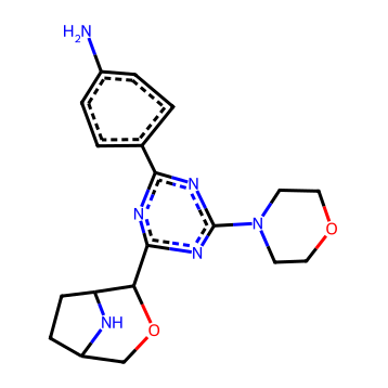 Nc1ccc(-c2nc(C3OCC4CCC3N4)nc(N3CCOCC3)n2)cc1